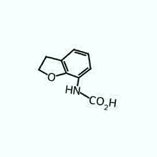 O=C(O)Nc1cccc2c1OCC2